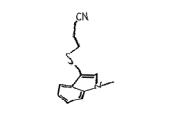 Cn1cc(SCCC#N)c2ccccc21